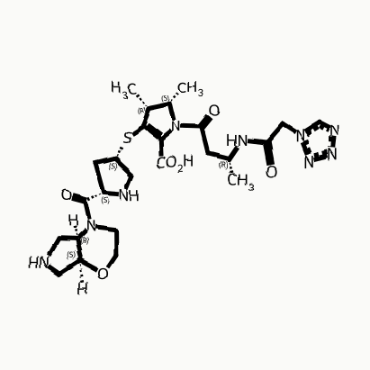 C[C@H](CC(=O)N1C(C(=O)O)=C(S[C@@H]2CN[C@H](C(=O)N3CCO[C@H]4CNC[C@H]43)C2)[C@H](C)[C@@H]1C)NC(=O)Cn1cnnn1